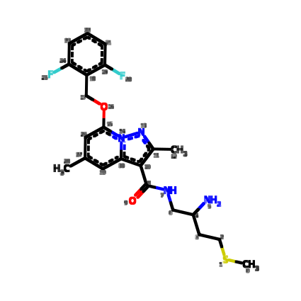 CSCCC(N)CNC(=O)c1c(C)nn2c(OCc3c(F)cccc3F)cc(C)cc12